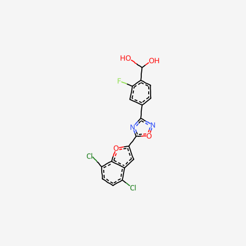 OC(O)c1ccc(-c2noc(-c3cc4c(Cl)ccc(Cl)c4o3)n2)cc1F